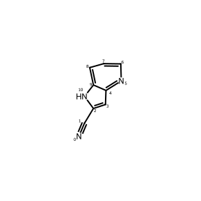 N#Cc1cc2ncccc2[nH]1